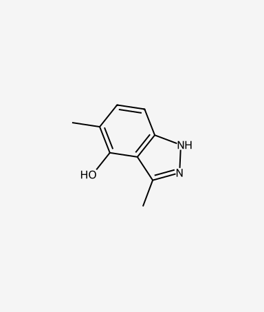 Cc1ccc2[nH]nc(C)c2c1O